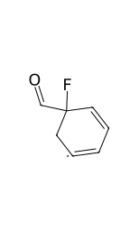 O=CC1(F)C=CC=[C]C1